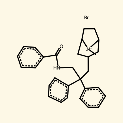 C[N+]1(C)C2CCC1CC(CC(CNC(=O)c1ccccc1)(c1ccccc1)c1ccccc1)C2.[Br-]